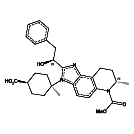 COC(=O)N1c2ccc3c(nc([C@@H](O)Cc4ccccc4)n3[C@]3(C)CC[C@H](C(=O)O)CC3)c2CC[C@@H]1C